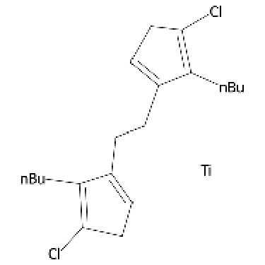 CCCCC1=C(Cl)CC=C1CCC1=CCC(Cl)=C1CCCC.[Ti]